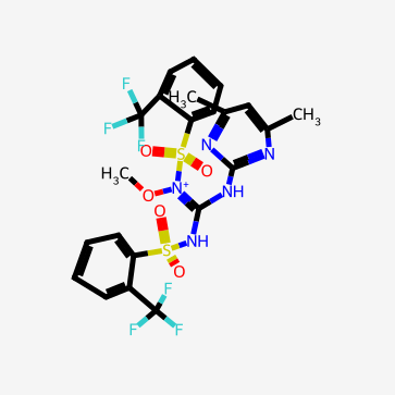 CO[N+](=C(Nc1nc(C)cc(C)n1)NS(=O)(=O)c1ccccc1C(F)(F)F)S(=O)(=O)c1ccccc1C(F)(F)F